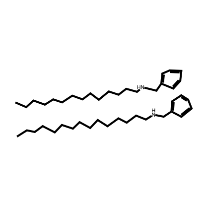 CCCCCCCCCCCCCCCNCc1ccccc1.CCCCCCCCCCCCCCNCc1ccccc1